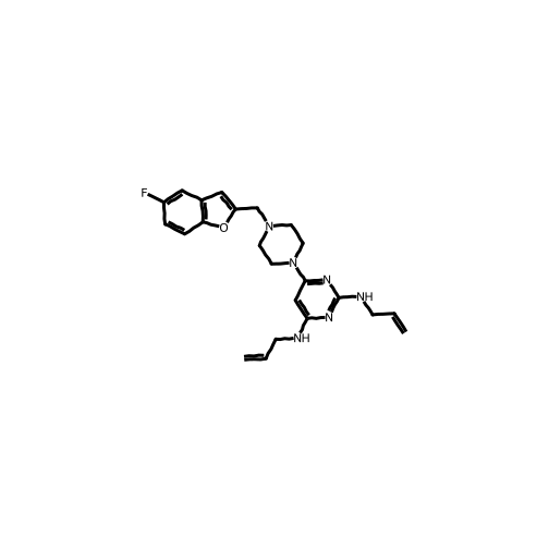 C=CCNc1cc(N2CCN(Cc3cc4cc(F)ccc4o3)CC2)nc(NCC=C)n1